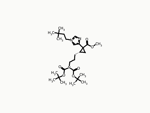 COC(=O)C1(c2cn(CCC(C)(C)C)cn2)C[C@@H]1CCCN(C(=O)OC(C)(C)C)C(=O)OC(C)(C)C